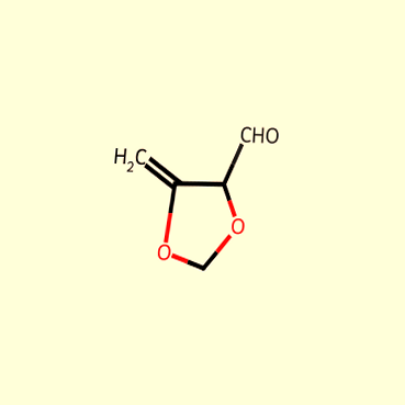 C=C1OCOC1C=O